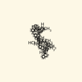 CN[C@@H](C)C(=O)N[C@H](C(=O)N1Cc2cc(NC(=O)CNC(=O)[C@]3(C)CN(C(=O)CN4C[C@@H](C)NC[C@@H]4CN4CCOC[C@H]4C)c4cc(Cc5ccc(F)cc5)ccc43)ccc2C[C@H]1C(=O)N[C@@H]1CCCc2ccccc21)C(C)(C)C.Cl